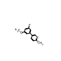 COc1cc(F)cc(-c2ccc(C)nc2)c1